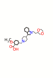 COc1ccc(CN2CCC(c3cn(CCC4COCCO4)c4ccccc34)CC2)cc1C(=O)O